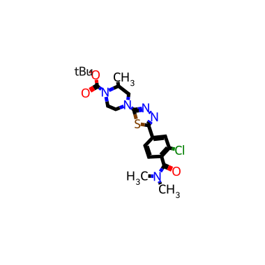 CC1CN(c2nnc(-c3ccc(C(=O)N(C)C)c(Cl)c3)s2)CCN1C(=O)OC(C)(C)C